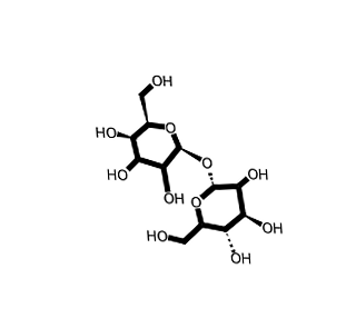 OCC1O[C@H](O[C@@H]2O[C@H](CO)[C@H](O)C(O)C2O)C(O)[C@@H](O)[C@@H]1O